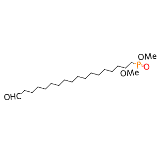 COP(=O)(CCCCCCCCCCCCCCCCCC=O)OC